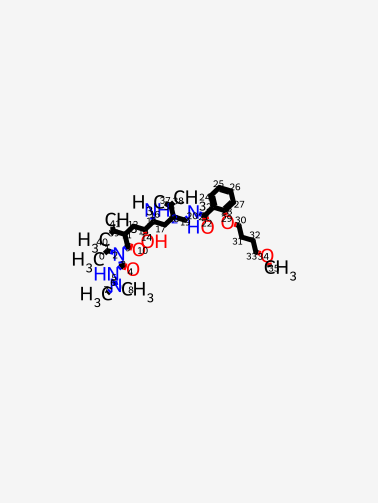 CCN(C(=O)NN(C)C)C(=O)C(CC(O)C(N)CC(CNC(=O)c1ccccc1OCCCCOC)C(C)C)C(C)C